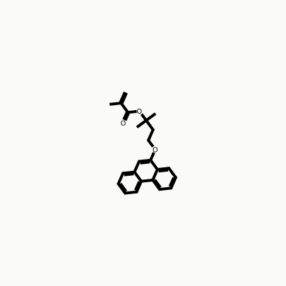 C=C(C)C(=O)OC(C)(C)CCOc1cc2ccccc2c2ccccc12